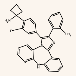 Cc1ccccc1-c1nc2n(c1-c1ccc(C3(N)CCC3)c(F)c1)-c1cccnc1Nc1ccccc1-2